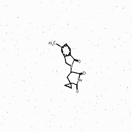 Cc1ccc2c(c1)CN(C1CC3(CC3)C(=O)NC1=O)C2=O